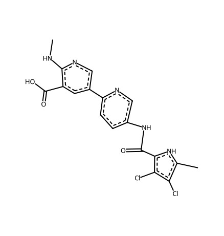 CNc1ncc(-c2ccc(NC(=O)c3[nH]c(C)c(Cl)c3Cl)cn2)cc1C(=O)O